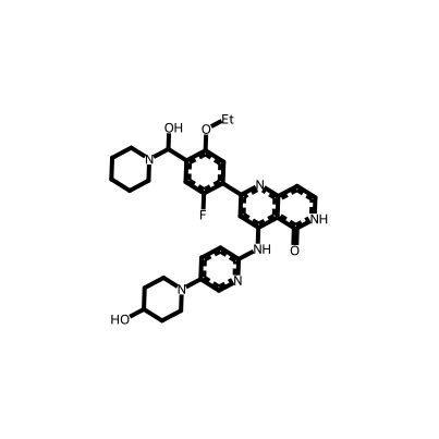 CCOc1cc(-c2cc(Nc3ccc(N4CCC(O)CC4)cn3)c3c(=O)[nH]ccc3n2)c(F)cc1C(O)N1CCCCC1